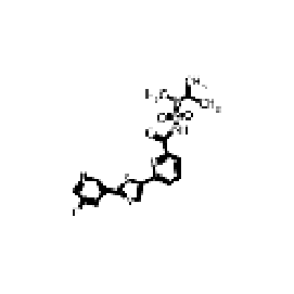 CC(C)N(C)S(=O)(=O)NC(=O)c1cccc(-c2cnc(-c3cncc(F)c3)s2)n1